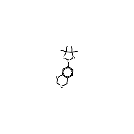 CC1(C)OB(c2ccc3c(c2)OCOC3)OC1(C)C